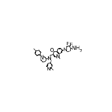 Cc1ccc(N2CCC[C@H](N(Cc3ccnc(C)c3)Cc3cn(C)c4cc(N5CC[C@H](N)C(F)(F)C5)ccc4c3=O)C2)cc1